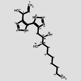 C=CC(O)c1nn[nH]c1-c1[nH]nnc1C[C@@H](O)[C@H](O)CCCCCCC